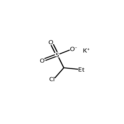 CCC(Cl)S(=O)(=O)[O-].[K+]